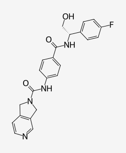 O=C(N[C@H](CO)c1ccc(F)cc1)c1ccc(NC(=O)N2Cc3ccncc3C2)cc1